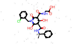 C[C@@H](NC(=O)c1c(O)c(C(=O)NCC(=O)O)c(=O)n(Cc2ccccc2Cl)c1O)c1ccccc1